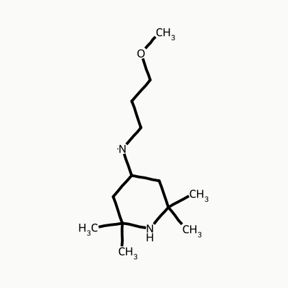 COCCC[N]C1CC(C)(C)NC(C)(C)C1